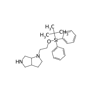 CC(C)(C)[Si](OCCN1CCC2CNCC21)(c1ccccc1)c1ccccc1